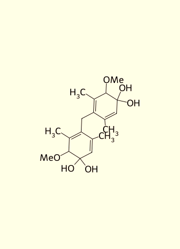 COC1C(C)=C(CC2=C(C)C(OC)C(O)(O)C=C2C)C(C)=CC1(O)O